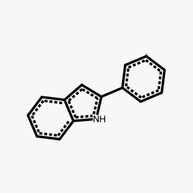 [c]1cccc(-c2cc3ccccc3[nH]2)c1